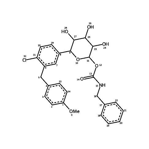 COc1ccc(Cc2cc(C3OC(OC(=O)NCc4ccccc4)C(O)C(O)C3O)ccc2Cl)cc1